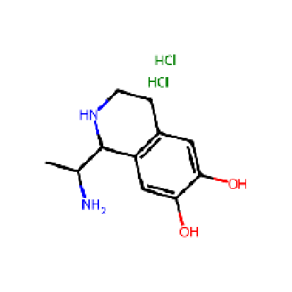 CC(N)C1NCCc2cc(O)c(O)cc21.Cl.Cl